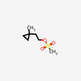 CC1(CCOS(C)(=O)=O)CC1